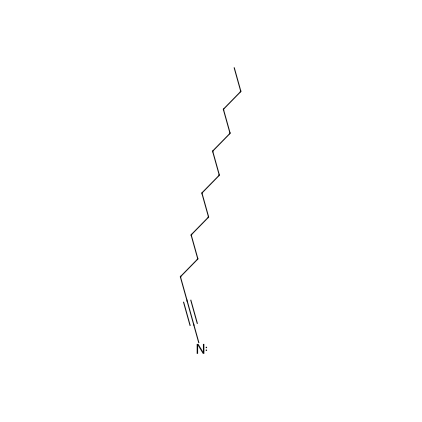 CCCCCCCCCCCC#C[N]